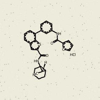 Cl.O=C(Nc1cccc(-c2cccc3cc(C(=O)N[C@H]4CN5CCC4CC5)sc23)c1)c1ccco1